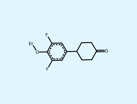 CCOc1c(F)cc(C2CCC(=O)CC2)cc1F